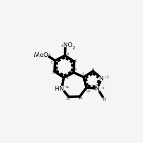 COc1cc2c(cc1[N+](=O)[O-])-c1cnn(C)c1CCN2